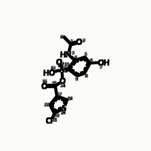 CC(=O)Nc1cc(O)ccc1[As](=O)(O)OC(=O)c1csc(Cl)c1